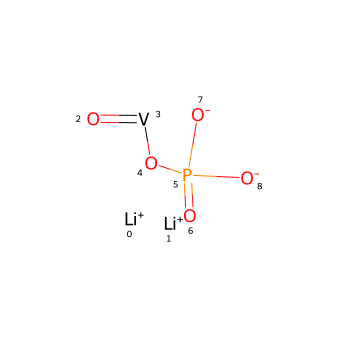 [Li+].[Li+].[O]=[V][O]P(=O)([O-])[O-]